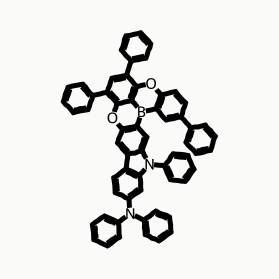 c1ccc(-c2ccc3c(c2)B2c4cc5c(cc4Oc4c(-c6ccccc6)cc(-c6ccccc6)c(c42)O3)c2ccc(N(c3ccccc3)c3ccccc3)cc2n5-c2ccccc2)cc1